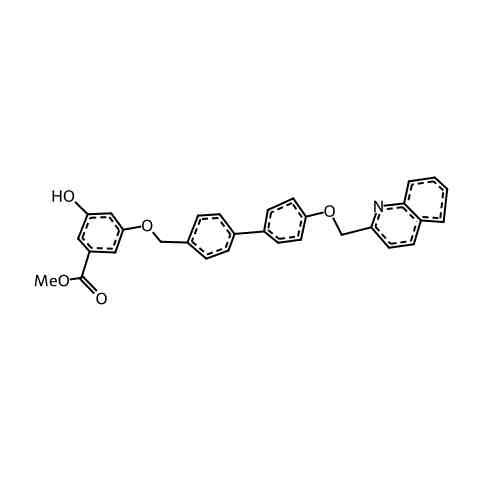 COC(=O)c1cc(O)cc(OCc2ccc(-c3ccc(OCc4ccc5ccccc5n4)cc3)cc2)c1